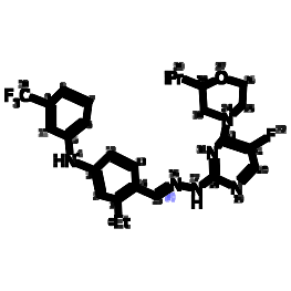 CCc1cc(Nc2cccc(C(F)(F)F)c2)ccc1/C=N/Nc1ncc(F)c(N2CCOC(C(C)C)C2)n1